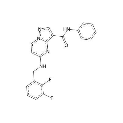 O=C(Nc1ccccc1)c1cnn2ccc(NCc3cccc(F)c3F)nc12